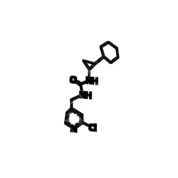 O=C(NCc1ccnc(Cl)c1)NC1CC1C1CCCCC1